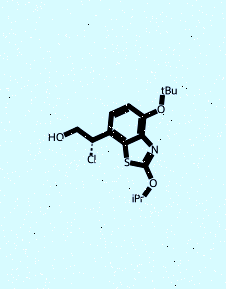 CC(C)Oc1nc2c(OC(C)(C)C)ccc([C@H](Cl)CO)c2s1